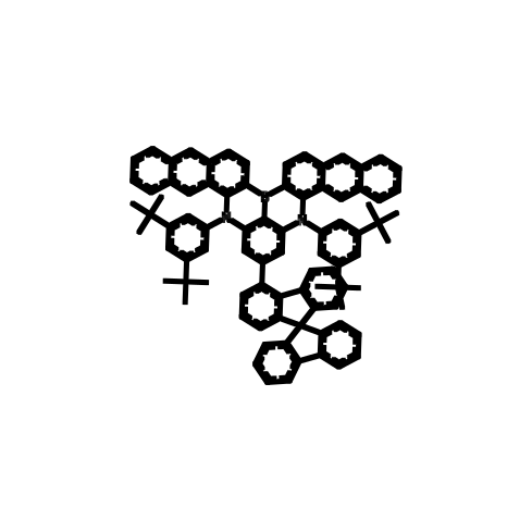 CC(C)(C)c1cc(N2c3cc(-c4cccc5c4-c4ccccc4C54c5ccccc5-c5ccccc54)cc4c3B(c3ccc5cc6ccccc6cc5c32)c2ccc3cc5ccccc5cc3c2N4c2cc(C(C)(C)C)cc(C(C)(C)C)c2)cc(C(C)(C)C)c1